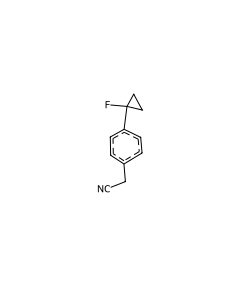 N#CCc1ccc(C2(F)CC2)cc1